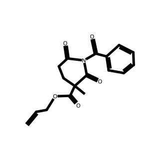 C=CCOC(=O)C1(C)CCC(=O)N(C(=O)c2ccccc2)C1=O